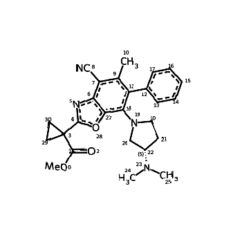 COC(=O)C1(c2nc3c(C#N)c(C)c(-c4ccccc4)c(N4CC[C@H](N(C)C)C4)c3o2)CC1